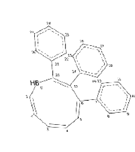 B1C=CC=CC=C(c2ccccc2)C(c2ccccc2)=C1c1ccccc1